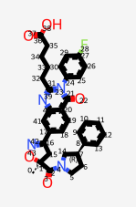 C[C@@]1(C(=O)N2CC[C@H](c3ccccc3)C2)CC(c2ccc3c(=O)n(-c4ccc(F)cc4)c(CCCCC(=O)O)nc3c2)=NO1